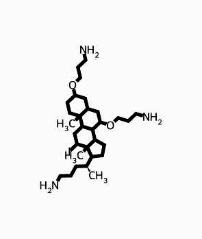 C[C@H](CCCN)C1CCC2C3C(OCCCN)CC4CC(OCCCN)CCC4(C)C3CC(I)C21C